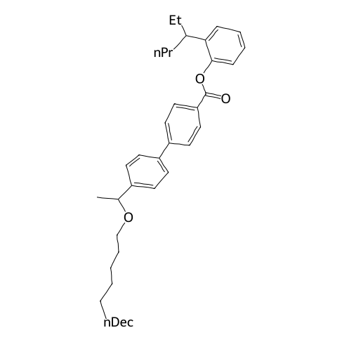 CCCCCCCCCCCCCCCOC(C)c1ccc(-c2ccc(C(=O)Oc3ccccc3C(CC)CCC)cc2)cc1